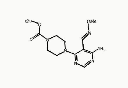 CO/N=C/c1c(N)ncnc1N1CCN(C(=O)OC(C)(C)C)CC1